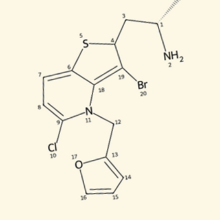 C[C@H](N)CC1SC2=CC=C(Cl)N(Cc3ccco3)C2=C1Br